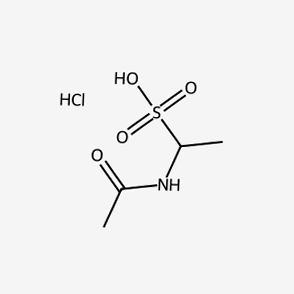 CC(=O)NC(C)S(=O)(=O)O.Cl